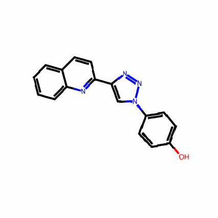 Oc1ccc(-n2cc(-c3ccc4ccccc4n3)nn2)cc1